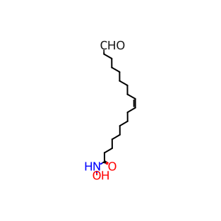 O=CCCCCCCC/C=C\CCCCCCCC(=O)NO